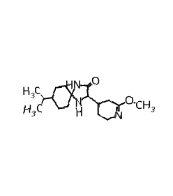 COC1=NCCC(C2NC3(CCC(C(C)C)CC3)NC2=O)C1